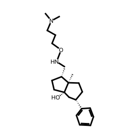 CN(C)CCCONC[C@H]1CC[C@]2(O)C[C@@H](c3ccccc3)CC[C@]12C